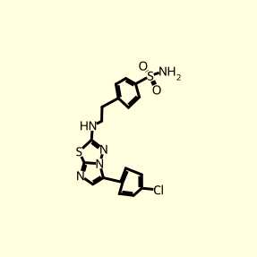 NS(=O)(=O)c1ccc(CCNc2nn3c(-c4ccc(Cl)cc4)cnc3s2)cc1